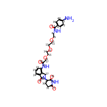 Nc1ccc(C(=O)NCCOCCOCCOCC(=O)Nc2cccc3c2CN(C2CCC(=O)NC2=O)C3=O)cc1